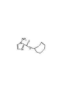 Nn1ccnc1C(=O)OC1CCCCCC1